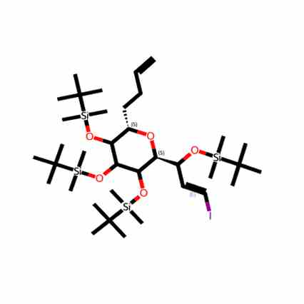 C=CCC[C@@H]1O[C@@H](C(/C=C/I)O[Si](C)(C)C(C)(C)C)C(O[Si](C)(C)C(C)(C)C)C(O[Si](C)(C)C(C)(C)C)C1O[Si](C)(C)C(C)(C)C